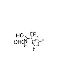 O=CNC(CO)C(c1cc(F)cc(F)c1)C(F)(F)F